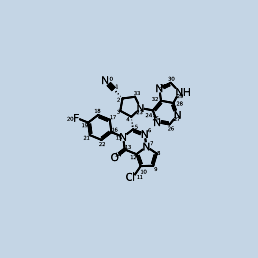 N#C[C@H]1C[C@@H](c2nn3ccc(Cl)c3c(=O)n2-c2ccc(F)cc2)N(c2ncnc3[nH]cnc23)C1